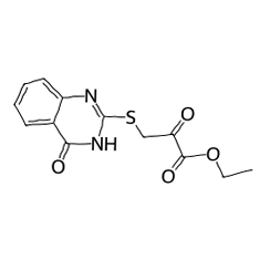 CCOC(=O)C(=O)CSc1nc2ccccc2c(=O)[nH]1